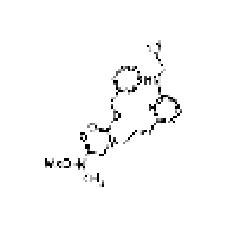 CON(C)C(=O)CN(CC=Cc1cccc(NCC2CC2)n1)C(=O)OCc1ccccc1